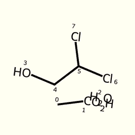 CC(=O)O.O.OCC(Cl)Cl